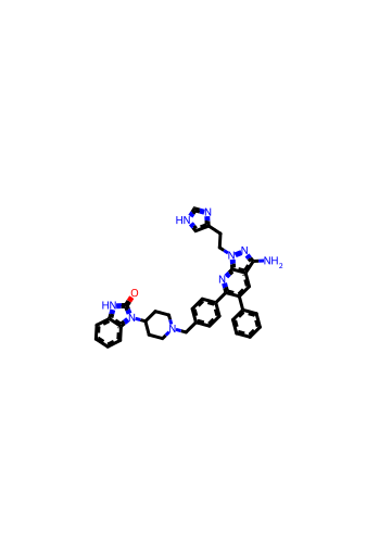 Nc1nn(CCc2c[nH]cn2)c2nc(-c3ccc(CN4CCC(n5c(=O)[nH]c6ccccc65)CC4)cc3)c(-c3ccccc3)cc12